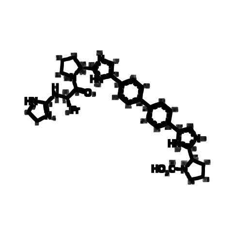 CC(C)[C@@H](NC1=NCCN1)C(=O)N1CCC[C@H]1c1ncc(-c2ccc(-c3ccc(-c4cnc(C5CCCN5C(=O)O)[nH]4)cc3)cc2)[nH]1